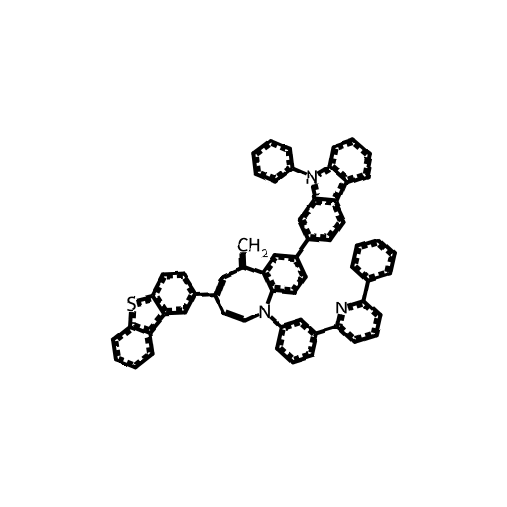 C=C1/C=C(c2ccc3sc4ccccc4c3c2)\C=C/N(c2cccc(-c3cccc(-c4ccccc4)n3)c2)c2ccc(-c3ccc4c5ccccc5n(-c5ccccc5)c4c3)cc21